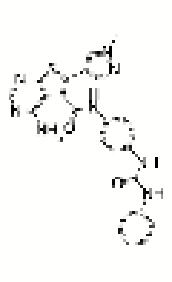 Cn1cc(-c2sc3ncnc(N)c3c2C(=O)Nc2ccc(NC(=O)Nc3ccccc3)cc2)cn1